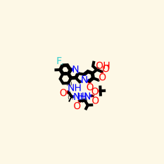 CC[C@@]1(O)C(=O)OCc2c1cc1n(c2=O)Cc2c-1nc1cc(F)c(C)c3c1c2[C@@H](NC(=O)[C@H](C)NC(=O)[C@@H](NC(=O)OC(C)(C)C)C(C)C)CC3